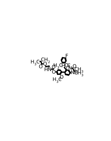 C=C(C)C(=O)OCCNC(=O)Oc1ccc(-c2ccc3c(c2COc2cc(F)ccc2C)N(C)C(=O)C(C)(C)N3)c(OC)c1